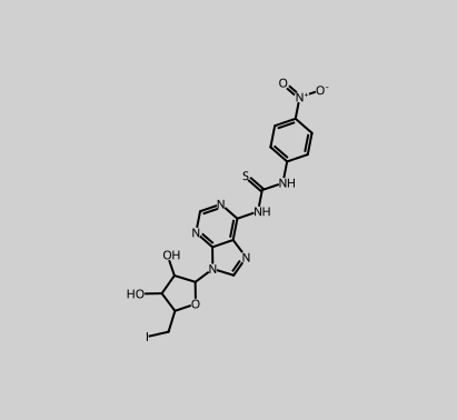 O=[N+]([O-])c1ccc(NC(=S)Nc2ncnc3c2ncn3C2OC(CI)C(O)C2O)cc1